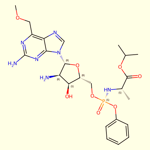 COCc1nc(N)nc2c1ncn2[C@@H]1O[C@H](CO[P@@](=O)(N[C@@H](C)C(=O)OC(C)C)Oc2ccccc2)[C@@H](O)[C@H]1N